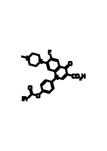 CC(C)C(=O)Oc1ccc(-n2cc(C(=O)O)c(=O)c3cc(F)c(N4CCN(C)CC4)cc32)cc1